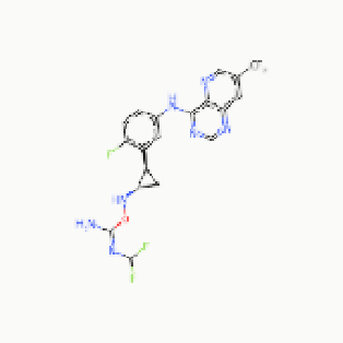 N/C(=N/C(F)F)ON[C@@H]1C[C@@H]1c1cc(Nc2ncnc3cc(C(F)(F)F)cnc23)ccc1F